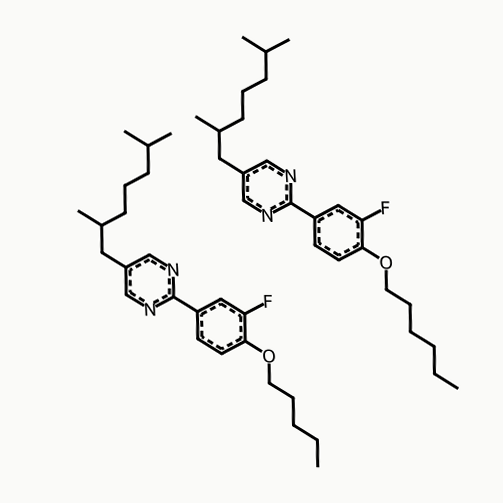 CCCCCCOc1ccc(-c2ncc(CC(C)CCCC(C)C)cn2)cc1F.CCCCCOc1ccc(-c2ncc(CC(C)CCCC(C)C)cn2)cc1F